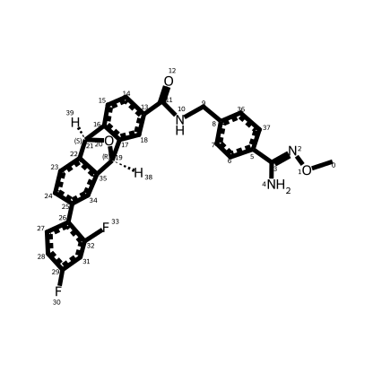 CON=C(N)c1ccc(CNC(=O)c2ccc3c(c2)[C@@H]2O[C@H]3c3ccc(-c4ccc(F)cc4F)cc32)cc1